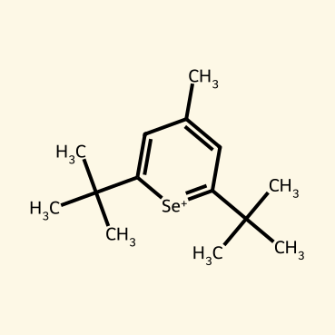 Cc1cc(C(C)(C)C)[se+]c(C(C)(C)C)c1